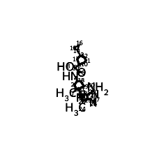 Cc1cc(NC(=O)[C@H](O)c2cccc(C3CC3)c2)ccc1-n1nc(C)c2ncnc(N)c21